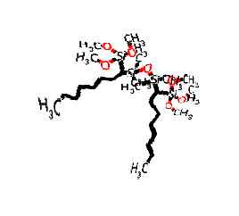 CCCCCCCC([Si](C)(C)O[Si](C)(C)C(CCCCCCC)[Si](OC)(OC)OC)[Si](OC)(OC)OC